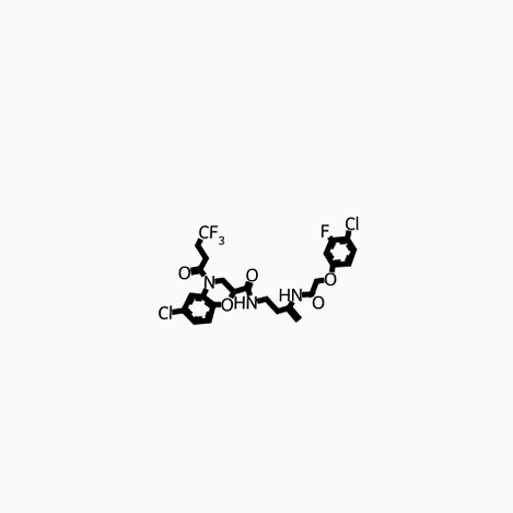 C=C(CCNC(=O)C1CN(C(=O)CCC(F)(F)F)c2cc(Cl)ccc2O1)NC(=O)COc1ccc(Cl)c(F)c1